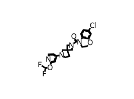 O=C(N1CC2(CCN(c3ccnc(OC(F)F)c3)C2)C1)N1CCOc2cc(Cl)ccc21